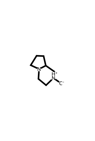 [CH2-][NH+]1CCN2CCCC2C1